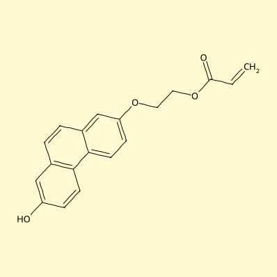 C=CC(=O)OCCOc1ccc2c(ccc3cc(O)ccc32)c1